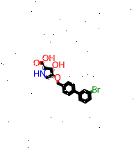 O=C(O)[C@@H]1NC[C@H](OCc2ccc(-c3cccc(Br)c3)cc2)[C@H]1O